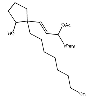 CCCCCC(C=CC1(CCCCCCCO)CCCC1O)OC(C)=O